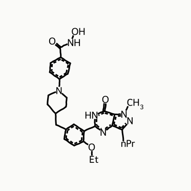 CCCc1nn(C)c2c(=O)[nH]c(-c3cc(CC4CCN(c5ccc(C(=O)NO)cc5)CC4)ccc3OCC)nc12